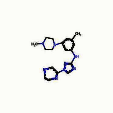 Cc1cc(Nc2ncn(-c3cnccn3)n2)cc(N2CCN(C)CC2)c1